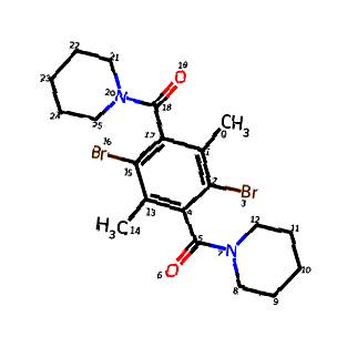 Cc1c(Br)c(C(=O)N2CCCCC2)c(C)c(Br)c1C(=O)N1CCCCC1